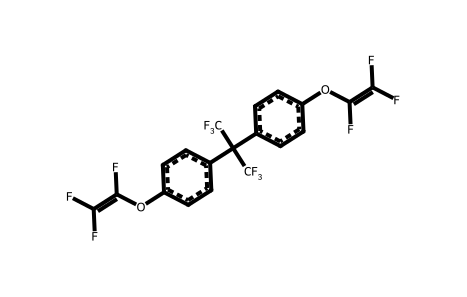 FC(F)=C(F)Oc1ccc(C(c2ccc(OC(F)=C(F)F)cc2)(C(F)(F)F)C(F)(F)F)cc1